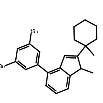 CC1C(C2(C)CCCCC2)=Cc2c(-c3cc(C(C)(C)C)cc(C(C)(C)C)c3)cccc21